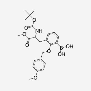 COC(=O)C(Cc1cccc(B(O)O)c1OCc1ccc(OC)cc1)NC(=O)OC(C)(C)C